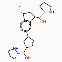 OC(C1CCc2ccc(C3CCC([C@@H](O)[C@@H]4CCCN4)C3)cc21)[C@@H]1CCCN1